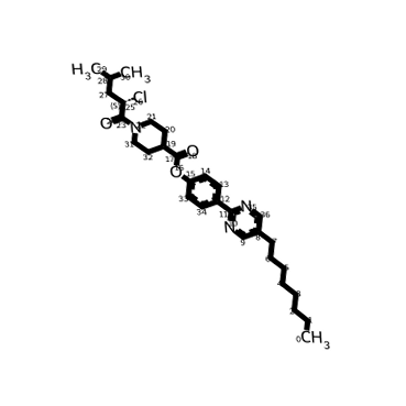 CCCCCCCCc1cnc(-c2ccc(OC(=O)C3CCN(C(=O)[C@@H](Cl)CC(C)C)CC3)cc2)nc1